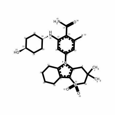 CC1(C)Cc2c(c3c(n2-c2cc(F)c(C(N)=O)c(N[C@H]4CC[C@H](O)CC4)c2)CCCC3)S(=O)(=O)C1